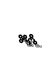 CC(C)(C)OC(=O)NC(Cc1cn(Cc2ccc(C(C)(C)C)cc2)c2ccccc12)C(=O)NOC(c1ccccc1)(c1ccccc1)c1ccccc1